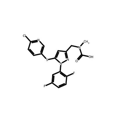 CN(Cc1cc(Sc2ccc(Cl)nc2)n(-c2cc(F)ccc2F)n1)C(=O)O